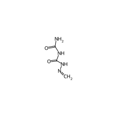 C=NNC(=O)NC(N)=O